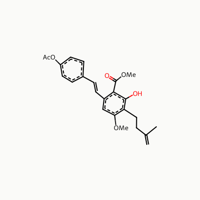 C=C(C)CCc1c(OC)cc(C=Cc2ccc(OC(C)=O)cc2)c(C(=O)OC)c1O